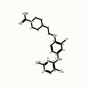 O=C(O)N1CCC(CCOc2ccc(Nc3nc(Cl)ncc3Cl)cc2I)CC1